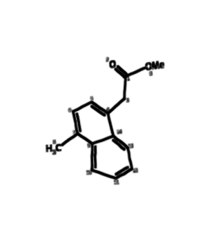 COC(=O)Cc1ccc(C)c2ccccc12